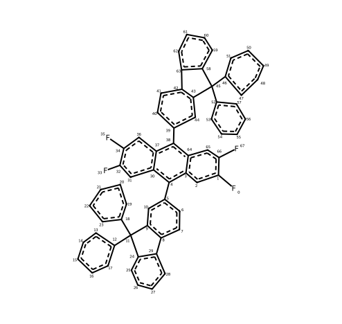 Fc1cc2c(-c3ccc4c(c3)C(c3ccccc3)(c3ccccc3)c3ccccc3-4)c3cc(F)c(F)cc3c(-c3ccc4c(c3)C(c3ccccc3)(c3ccccc3)c3ccccc3-4)c2cc1F